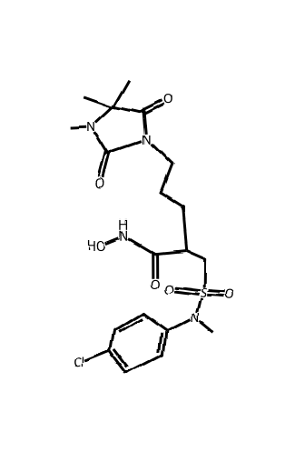 CN1C(=O)N(CCCC(CS(=O)(=O)N(C)c2ccc(Cl)cc2)C(=O)NO)C(=O)C1(C)C